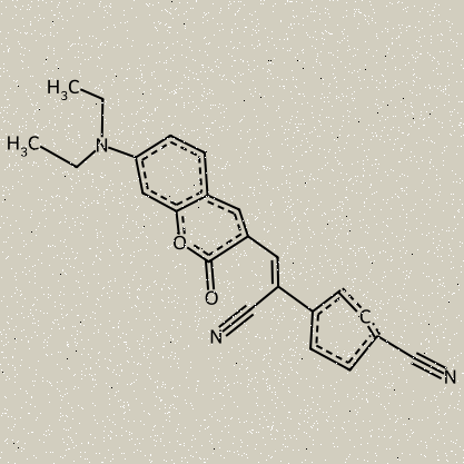 CCN(CC)c1ccc2cc(C=C(C#N)c3ccc(C#N)cc3)c(=O)oc2c1